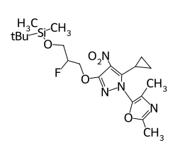 Cc1nc(C)c(-n2nc(OCC(F)CO[Si](C)(C)C(C)(C)C)c([N+](=O)[O-])c2C2CC2)o1